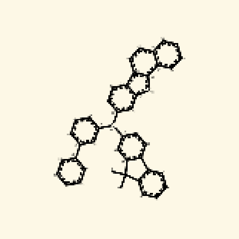 CC1(C)c2ccccc2-c2ccc(N(c3cccc(-c4ccccc4)c3)c3ccc4c(c3)sc3c5ccccc5ccc43)cc21